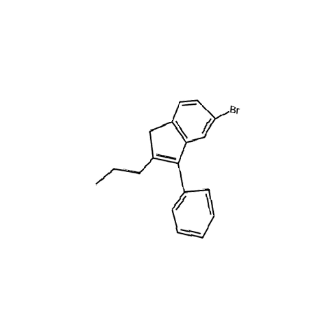 CCCC1=C(c2ccccc2)c2cc(Br)ccc2C1